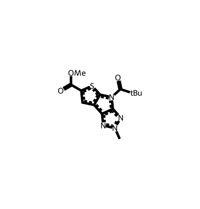 COC(=O)c1cc2c3nn(C)nc3n(C(=O)C(C)(C)C)c2s1